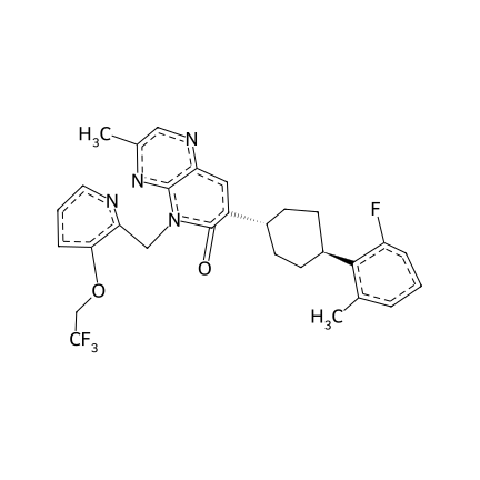 Cc1cnc2cc([C@H]3CC[C@H](c4c(C)cccc4F)CC3)c(=O)n(Cc3ncccc3OCC(F)(F)F)c2n1